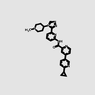 CN1CCC(n2cnnc2-c2cccc(NC(=O)c3cc(-c4ccc(C5CC5)nc4)ccn3)n2)CC1